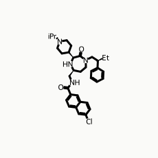 CC[C@H](CN1CC[C@@H](CNC(=O)c2ccc3cc(Cl)ccc3c2)N[C@@H](C2CCN(C(C)C)CC2)C1=O)c1ccccc1